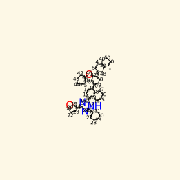 C1=CC2=C(C=CC(C3=CC=C(C4CCC(C5N=C(C6=COCC=C6)N=C(C6=CCCCC6)N5)=C5C=CCCC54)C4C5=C(CCC=C5)OC34)C2)CC1